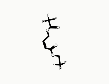 O=C(/C=C\COC(=O)C(F)(F)F)OCC(F)(F)F